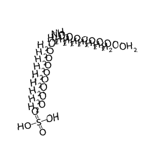 N.O.O.O.O.O.O.O.O.O.O.O.O.O.O.O.O.O.O.O=S(=O)(O)O